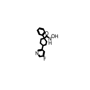 O=C(NO)C1(c2ccccc2)CCC(c2cncc(F)c2)CC1